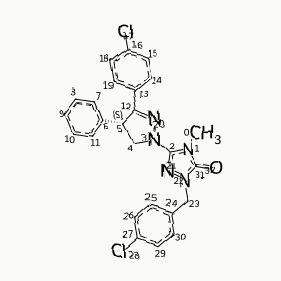 Cn1c(N2C[C@H](c3ccccc3)C(c3ccc(Cl)cc3)=N2)nn(Cc2ccc(Cl)cc2)c1=O